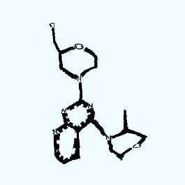 CC1COCCN1c1nc(N2CCOC(CCl)C2)nc2ncccc12